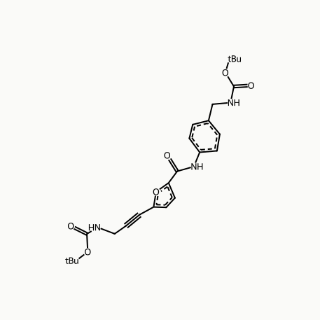 CC(C)(C)OC(=O)NCC#Cc1ccc(C(=O)Nc2ccc(CNC(=O)OC(C)(C)C)cc2)o1